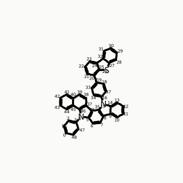 c1ccc(-n2c3ccc4c5ccccc5n(-c5ccc(-c6cccc7c6sc6ccccc67)cc5)c4c3c3ccc4ccccc4c32)cc1